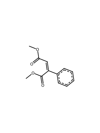 COC(=O)/C=C(\C(=O)OC)c1ccccc1